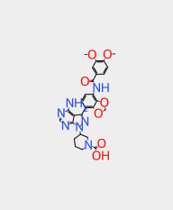 COc1ccc(C(=O)Nc2ccc(-c3nn([C@@H]4CCCN(C(=O)O)C4)c4ncnc(N)c34)c3c2OCO3)cc1OC